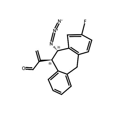 C=C(C=O)[C@@H]1c2ccccc2Cc2ccc(F)cc2[C@H]1N=[N+]=[N-]